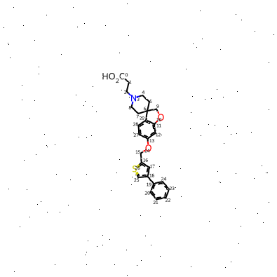 O=C(O)CCN1CCC2(CC1)COc1cc(OCc3cc(-c4ccccc4)cs3)ccc12